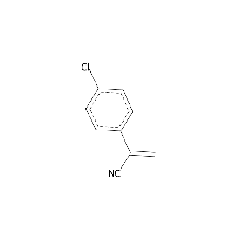 [CH]=C(C#N)c1ccc(Cl)cc1